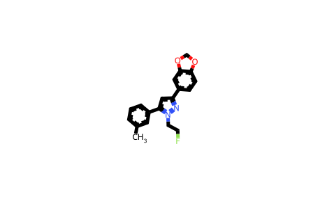 Cc1cccc(-c2cc(-c3ccc4c(c3)OCO4)nn2CCF)c1